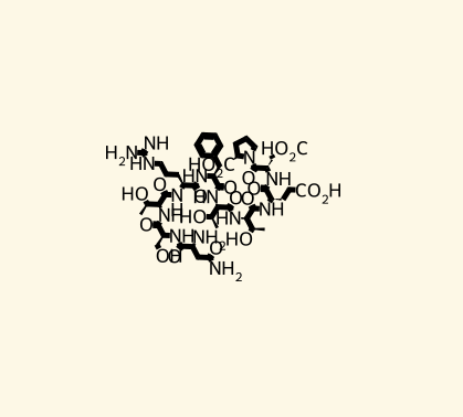 C[C@@H](O)[C@H](NC(=O)[C@H](CO)NC(=O)[C@@H](N)CC(N)=O)C(=O)N[C@@H](CCCNC(=N)N)C(=O)N[C@@H](Cc1ccccc1)C(=O)N[C@H](C(=O)N[C@H](C(=O)N[C@@H](CCC(=O)O)C(=O)N[C@@H](CC(=O)O)C(=O)N1CCC[C@H]1C(=O)O)[C@@H](C)O)[C@@H](C)O